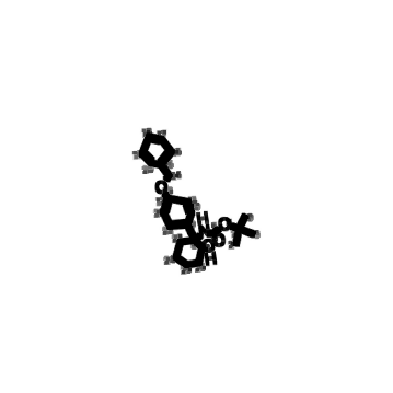 CC(C)(C)OC(=O)NC1(c2ccc(OCc3ccccc3)cc2)CCCCC1O